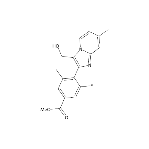 COC(=O)c1cc(C)c(-c2nc3cc(C)ccn3c2CO)c(F)c1